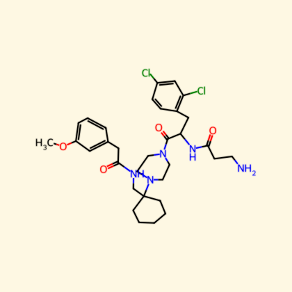 COc1cccc(CC(=O)NCC2(N3CCN(C(=O)C(Cc4ccc(Cl)cc4Cl)NC(=O)CCN)CC3)CCCCC2)c1